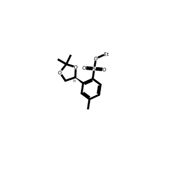 CCOS(=O)(=O)c1ccc(C)cc1[C@H]1COC(C)(C)O1